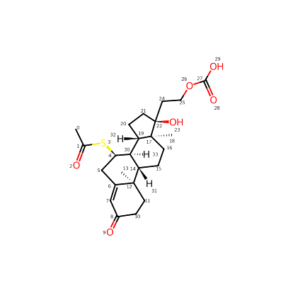 CC(=O)S[C@@H]1CC2=CC(=O)CC[C@]2(C)[C@H]2CC[C@@]3(C)[C@@H](CC[C@]3(O)CCOC(=O)O)[C@H]12